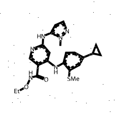 CCONC(=O)c1cnc(Nc2ccnn2C)cc1Nc1ccc(C2CC2)cc1SC